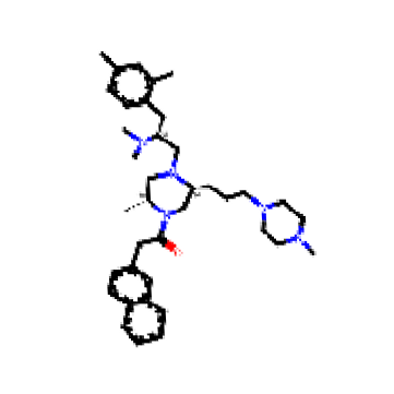 Cc1ccc(C[C@@H](CN2C[C@@H](C)N(C(=O)Cc3ccc4ccccc4c3)C[C@@H]2CCCN2CCN(C)CC2)N(C)C)c(C)c1